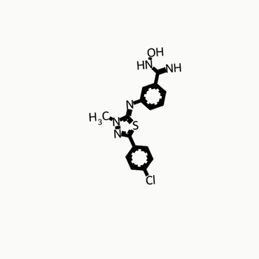 Cn1nc(-c2ccc(Cl)cc2)sc1=Nc1cccc(C(=N)NO)c1